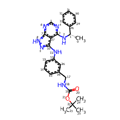 C[C@H](Nc1ncnc2[nH]nc(Nc3cccc(CNC(=O)OC(C)(C)C)c3)c12)c1ccccc1